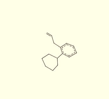 C=CCc1ccccc1C1CCCCC1